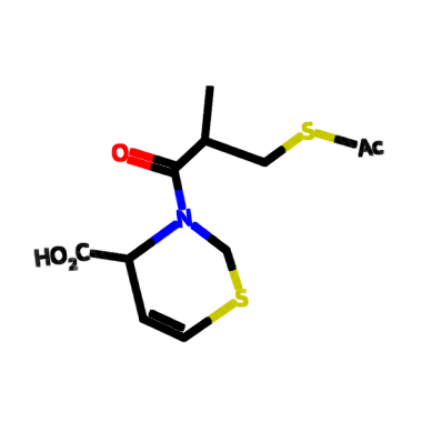 CC(=O)SCC(C)C(=O)N1CSC=CC1C(=O)O